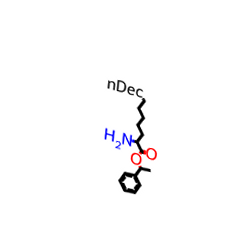 CCCCCCCCCCCCCCCC(N)C(=O)OC(C)c1ccccc1